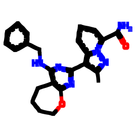 Cc1nn2c(C(N)=O)cccc2c1-c1nc(NCc2ccccc2)c2c(n1)OCCCC2